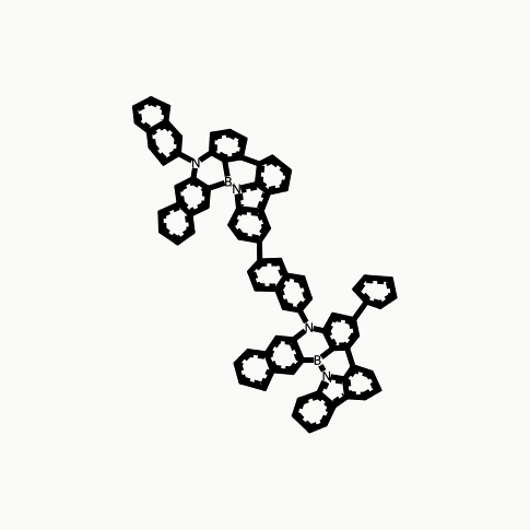 c1ccc(-c2cc3c4c(c2)N(c2ccc5cc(-c6ccc7c(c6)c6cccc8c6n7B6c7cc9ccccc9cc7N(c7ccc9ccccc9c7)c7cccc-8c76)ccc5c2)c2cc5ccccc5cc2B4n2c4ccccc4c4cccc-3c42)cc1